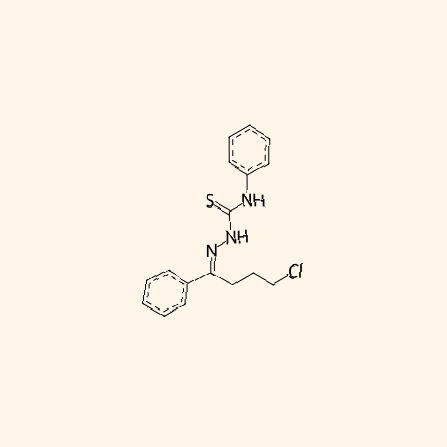 S=C(NN=C(CCCCl)c1ccccc1)Nc1ccccc1